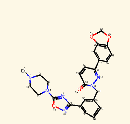 CCN1CCN(c2nc(-c3cccc(Cn4nc(-c5ccc6c(c5)OCO6)ccc4=O)c3)no2)CC1